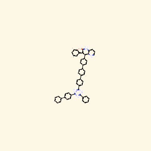 c1ccc(-c2ccc(-c3nc(-c4ccccc4)nc(-c4ccc(-c5ccc(-c6ccc(-c7c8ncccc8nc8oc9ccccc9c78)cc6)cc5)cc4)n3)cc2)cc1